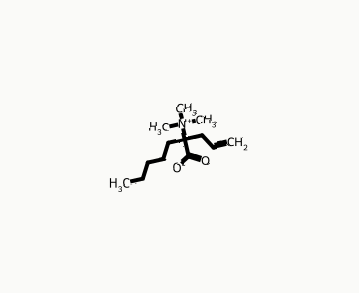 C=CCC(CCCCC)(C(=O)[O-])[N+](C)(C)C